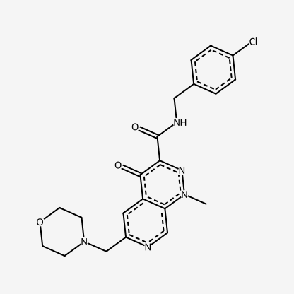 Cn1nc(C(=O)NCc2ccc(Cl)cc2)c(=O)c2cc(CN3CCOCC3)ncc21